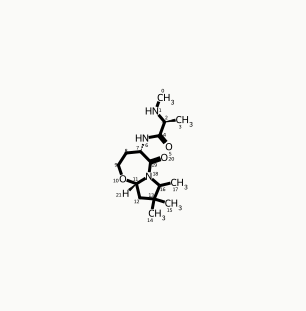 CN[C@@H](C)C(=O)N[C@H]1CCO[C@H]2CC(C)(C)C(C)N2C1=O